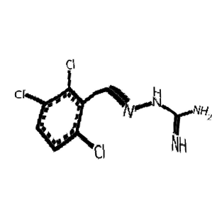 N=C(N)NN=Cc1c(Cl)ccc(Cl)c1Cl